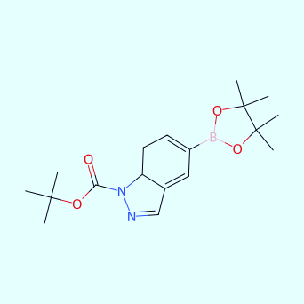 CC(C)(C)OC(=O)N1N=CC2=CC(B3OC(C)(C)C(C)(C)O3)=CCC21